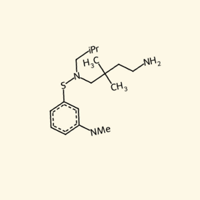 CNc1cccc(SN(CC(C)C)CC(C)(C)CCN)c1